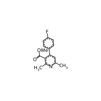 COC(=O)c1c(-c2ccc(F)cc2)cc(C)nc1C